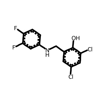 Oc1c(Cl)cc(Cl)cc1CNc1ccc(F)c(F)c1